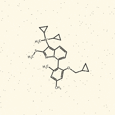 CSc1nn2c(-c3c(C)cc(C)cc3OCC3CC3)cccc2c1[N+](C)(C1CC1)C1CC1